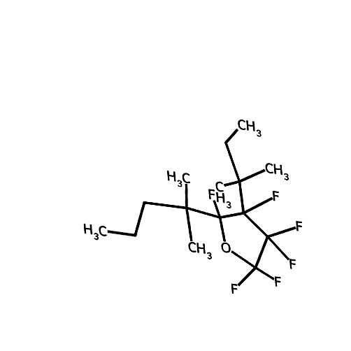 CCCC(C)(C)C1(F)OC(F)(F)C(F)(F)C1(F)C(C)(C)CC